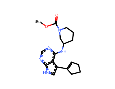 CC(C)(C)OC(=O)N1CCCC(Nc2ncnc3[nH]cc(C4=CCCC4)c23)C1